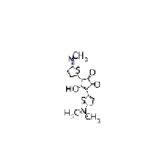 C/N=C1/C=CC(C2C(=O)C(=O)C(c3ccc(N(C)C)s3)=C2O)S1